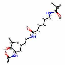 CC(=O)N[C@@H](CCCCNC(=O)CCCCCNC(=O)C(C)C)C(=O)C(C)C